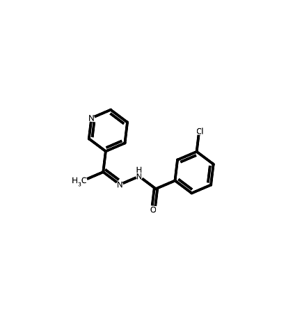 CC(=NNC(=O)c1cccc(Cl)c1)c1cccnc1